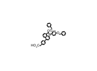 O=C(O)Cc1ccc(-c2ccc3c4c(cccc24)C(=O)N3c2ccc(OCc3ccccc3)nc2OCc2ccccc2)cc1